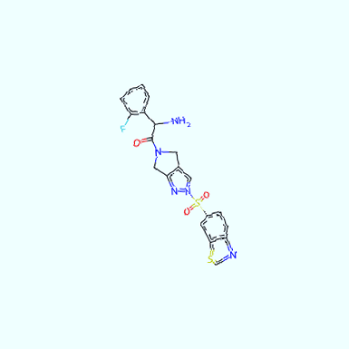 NC(C(=O)N1Cc2cn(S(=O)(=O)c3ccc4ncsc4c3)nc2C1)c1ccccc1F